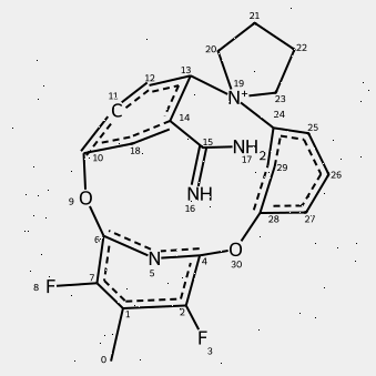 Cc1c(F)c2nc(c1F)Oc1ccc(c(C(=N)N)c1)[N+]1(CCCC1)c1cccc(c1)O2